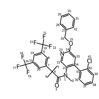 CN(C(=O)C(C)(C)c1cc(C(F)(F)F)cc(C(F)(F)F)c1)c1cnc(OCc2ccccc2)cc1-c1ccccc1Cl